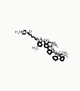 COc1c(-c2cccc3c2ncn3CO[Si](c2ccccc2)(c2ccccc2)C(C)(C)C)ccc(C(=O)N(C)c2ccc(C)cc2OCCCCCC(=O)N2CCN(C)CC2)c1C(N)=O